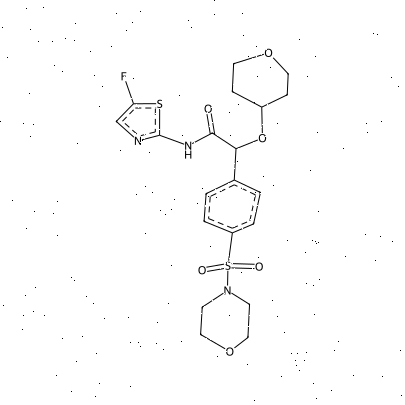 O=C(Nc1ncc(F)s1)C(OC1CCOCC1)c1ccc(S(=O)(=O)N2CCOCC2)cc1